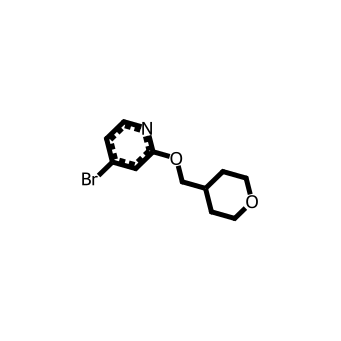 Brc1ccnc(OCC2CCOCC2)c1